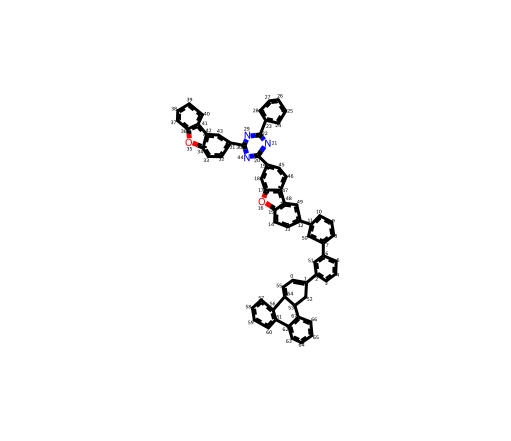 C1=C(c2cccc(-c3cccc(-c4ccc5oc6cc(-c7nc(-c8ccccc8)nc(-c8ccc9oc%10ccccc%10c9c8)n7)ccc6c5c4)c3)c2)CC2C(=C1)c1ccccc1-c1ccccc12